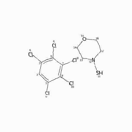 Clc1cc(Cl)c(Cl)c(Cl)c1Cl.SN1CCOCC1